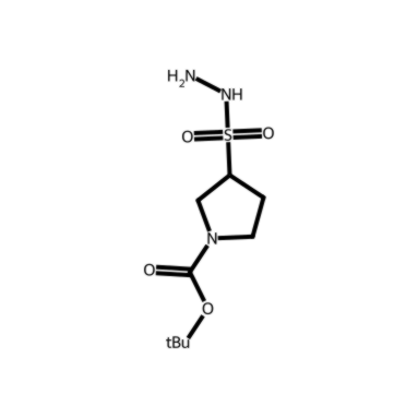 CC(C)(C)OC(=O)N1CCC(S(=O)(=O)NN)C1